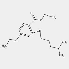 CCCc1ccc(C(=O)OCC)c(OCCCC(C)C)c1